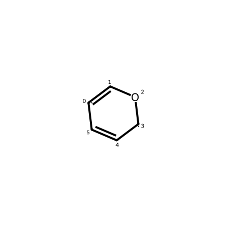 [C]1=CO[CH]C=C1